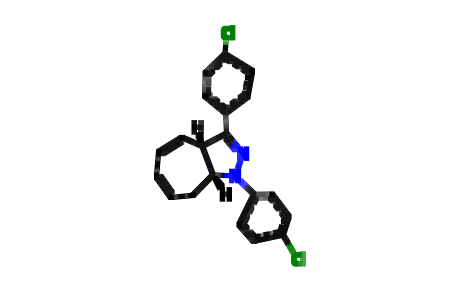 Clc1ccc(C2=NN(c3ccc(Cl)cc3)[C@@H]3CC=CC=C[C@H]23)cc1